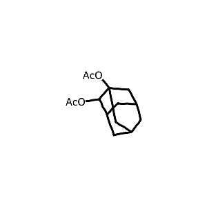 CC(=O)OC1C2CC3CC(C2)CC1(OC(C)=O)C3